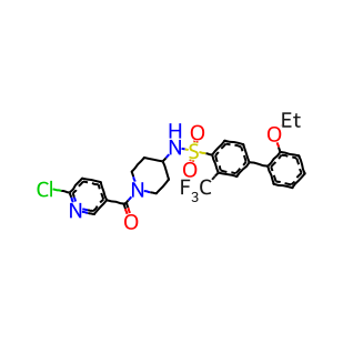 CCOc1ccccc1-c1ccc(S(=O)(=O)NC2CCN(C(=O)c3ccc(Cl)nc3)CC2)c(C(F)(F)F)c1